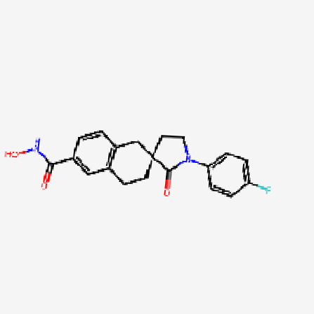 O=C(NO)c1ccc2c(c1)CC[C@]1(CCN(c3ccc(F)cc3)C1=O)C2